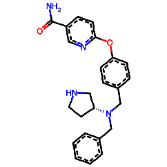 NC(=O)c1ccc(Oc2ccc(CN(Cc3ccccc3)[C@@H]3CCNC3)cc2)nc1